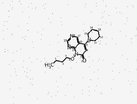 CCCCOn1c(=O)cc(N2CCCCC2)c2cncnc21